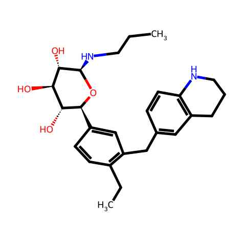 CCCN[C@H]1O[C@@H](c2ccc(CC)c(Cc3ccc4c(c3)CCCN4)c2)[C@H](O)[C@@H](O)[C@@H]1O